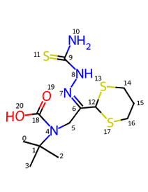 CC(C)(C)N(C/C(=N/NC(N)=S)C1SCCCS1)C(=O)O